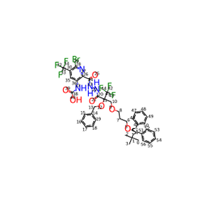 CC(C)(C)[Si](OCCCOCC(OCc1ccccc1)(C(=O)NNC(=O)c1nc(Br)c(C(F)(F)F)cc1NC(=O)O)C(F)(F)F)(c1ccccc1)c1ccccc1